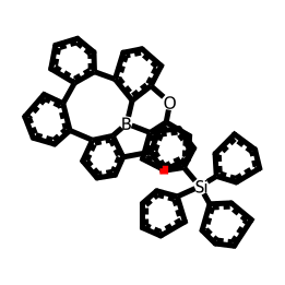 c1ccc([Si](c2ccccc2)(c2ccccc2)c2cccc(-c3cccc4c3B3c5ccccc5Oc5cccc(c53)-c3ccccc3-c3ccccc3-4)c2)cc1